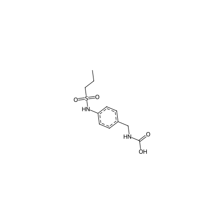 CCCS(=O)(=O)Nc1ccc(CNC(=O)O)cc1